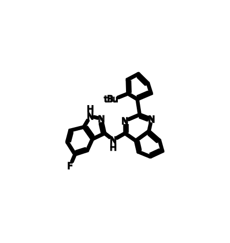 CC(C)(C)c1ccccc1-c1nc(Nc2n[nH]c3ccc(F)cc23)c2ccccc2n1